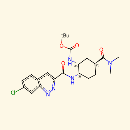 CN(C)C(=O)[C@H]1CC[C@H](NC(=O)c2cc3ccc(Cl)cc3nn2)[C@H](NC(=O)OC(C)(C)C)C1